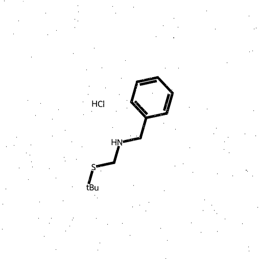 CC(C)(C)SCNCc1ccccc1.Cl